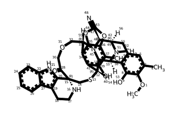 COc1c(C)cc2c(c1O)[C@H]1C3[C@@H]4SC[C@]5(NCCc6c5[nH]c5ccccc65)C(=O)COC[C@@H](c5c6c(c(C)c(O)c54)OCO6)N3[C@@H](C#N)[C@@H](C2)N1C